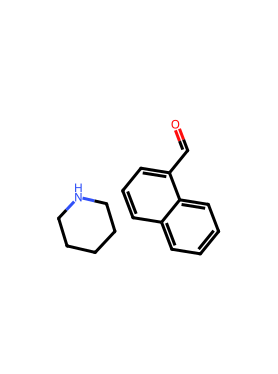 C1CCNCC1.O=Cc1cccc2ccccc12